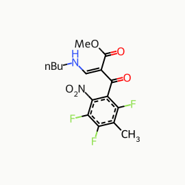 CCCCNC=C(C(=O)OC)C(=O)c1c(F)c(C)c(F)c(F)c1[N+](=O)[O-]